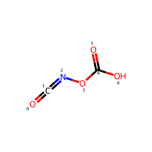 O=C=NOC(=O)O